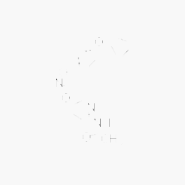 CC(=O)Nc1ccc(OC2=NO[C@H](c3ccc(Oc4ccccc4)cc3)C2)cn1